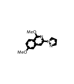 COc1ccc2c(OC)nc(-n3cccn3)cc2c1